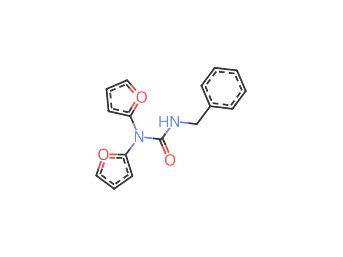 O=C(NCc1ccccc1)N(c1ccco1)c1ccco1